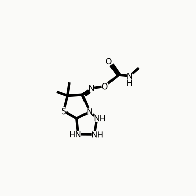 CNC(=O)ON=C1N2NNNC2SC1(C)C